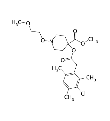 COCCON1CCC(OC(=O)Cc2c(C)cc(C)c(Cl)c2C)(C(=O)OC)CC1